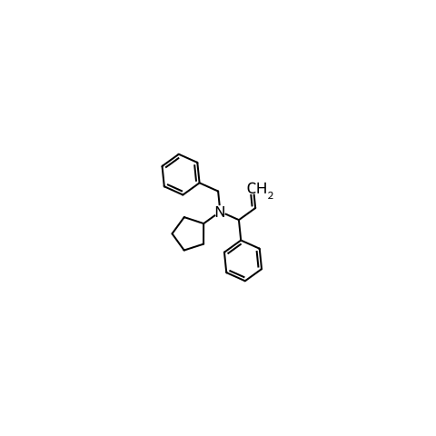 C=CC(c1ccccc1)N(Cc1ccccc1)C1CCCC1